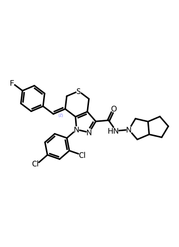 O=C(NN1CC2CCCC2C1)c1nn(-c2ccc(Cl)cc2Cl)c2c1CSC/C2=C\c1ccc(F)cc1